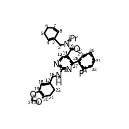 CC(C)N(CC1=CCCC=C1)C(=O)c1cnc(NCC2=CC3=C(CC2)OCO3)nc1-c1ccccc1F